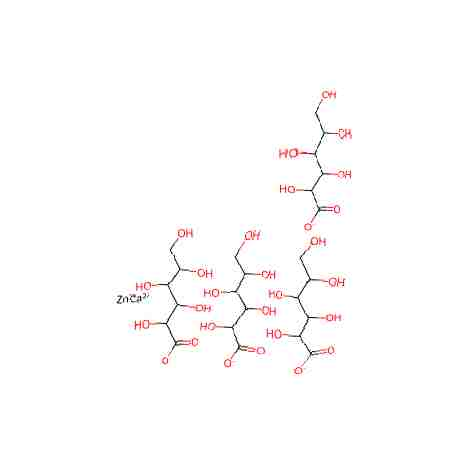 O=C([O-])C(O)C(O)C(O)C(O)CO.O=C([O-])C(O)C(O)C(O)C(O)CO.O=C([O-])C(O)C(O)C(O)C(O)CO.O=C([O-])C(O)C(O)C(O)C(O)CO.[Ca+2].[Zn+2]